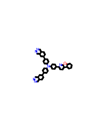 c1ccc2c(c1)oc1nc(-c3ccc(N(c4ccc(-c5ccc6cnncc6c5)cc4)c4ccc(-c5ccc6cnncc6c5)cc4)cc3)ccc12